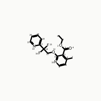 CCOC(=O)c1c(C)ccnc1OCC(F)(F)c1ccccn1